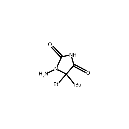 CCC(C)C1(CC)C(=O)NC(=O)N1N